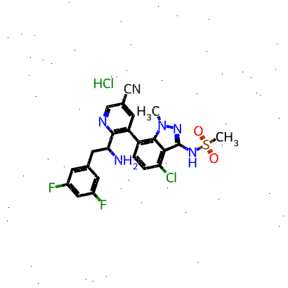 Cl.Cn1nc(NS(C)(=O)=O)c2c(Cl)ccc(-c3cc(C#N)cnc3C(N)Cc3cc(F)cc(F)c3)c21